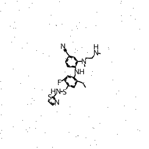 CCc1cc(SNc2nccs2)c(F)cc1Nc1ccc(C#N)cc1N(C)CCNC